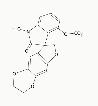 CN1C(=O)C2(COc3cc4c(cc32)OCCO4)c2c(OC(=O)O)cccc21